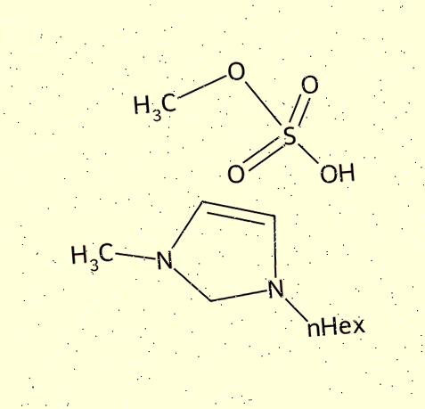 CCCCCCN1C=CN(C)C1.COS(=O)(=O)O